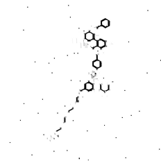 [N-]=[N+]=NCCOCCOCCOCCNC(=O)c1ccc(O[C@@H]2O[C@H](CO)[C@H](O)[C@H](O)[C@H]2O)c(OS(=O)(=O)Oc2ccc(COc3c4c(cc5c3C(=O)N[C@H]3[C@H](O)[C@H](O)[C@@H](O)[C@H](OC(=O)c6ccccc6)[C@H]53)OCO4)cc2)c1